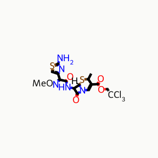 CON=C(C(=O)NC1C(=O)N2C=C(C(=O)OCC(Cl)(Cl)Cl)C(C)S[C@H]12)c1csc(N)n1